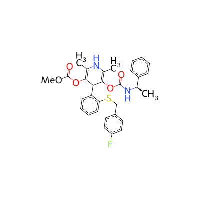 COC(=O)OC1=C(C)NC(C)=C(OC(=O)N[C@H](C)c2ccccc2)C1c1ccccc1SCc1ccc(F)cc1